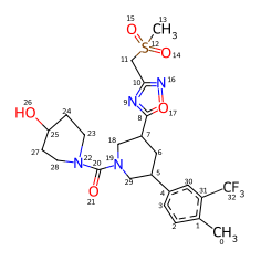 Cc1ccc(C2CC(c3nc(CS(C)(=O)=O)no3)CN(C(=O)N3CCC(O)CC3)C2)cc1C(F)(F)F